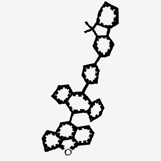 CC1(C)c2ccccc2-c2ccc(-c3ccc(-c4c5ccccc5c(-c5cc6cccc7oc8cccc5c8c67)c5ccccc45)cc3)cc21